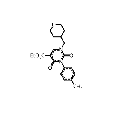 CCOC(=O)c1cn(CC2CCOCC2)c(=O)n(-c2ccc(C)cc2)c1=O